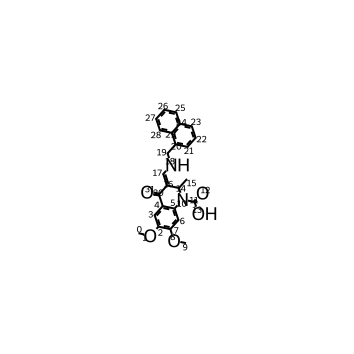 COc1cc2c(cc1OC)N(C(=O)O)C(C)C(=CNCc1cccc3ccccc13)C2=O